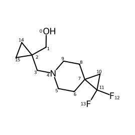 OCC1(CN2CCC3(CC2)CC3(F)F)CC1